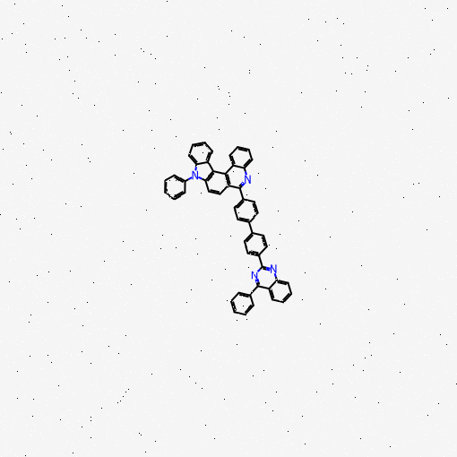 c1ccc(-c2nc(-c3ccc(-c4ccc(-c5nc6ccccc6c6c5ccc5c6c6ccccc6n5-c5ccccc5)cc4)cc3)nc3ccccc23)cc1